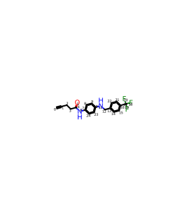 C#CCCC(=O)Nc1ccc(NCc2ccc(C(F)(F)F)cc2)cc1